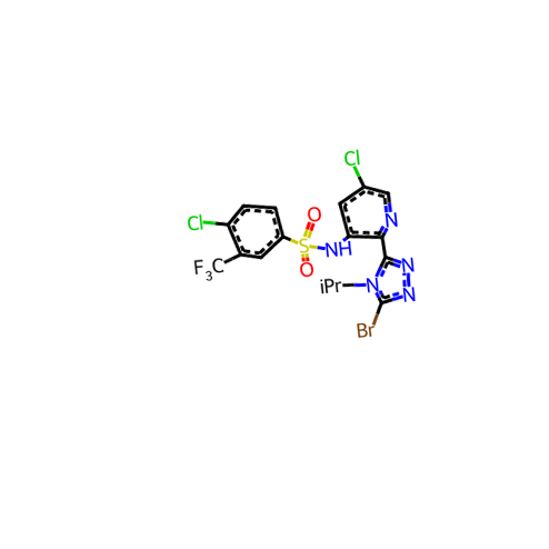 CC(C)n1c(Br)nnc1-c1ncc(Cl)cc1NS(=O)(=O)c1ccc(Cl)c(C(F)(F)F)c1